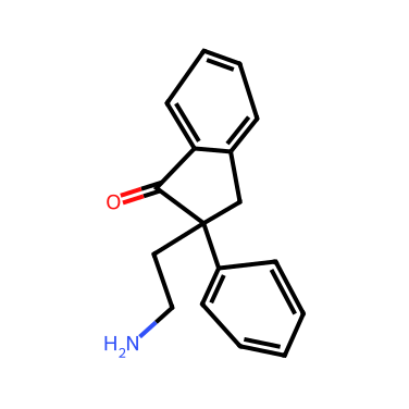 NCCC1(c2ccccc2)Cc2ccccc2C1=O